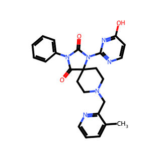 Cc1cccnc1CN1CCC2(CC1)C(=O)N(c1ccccc1)C(=O)N2c1nccc(O)n1